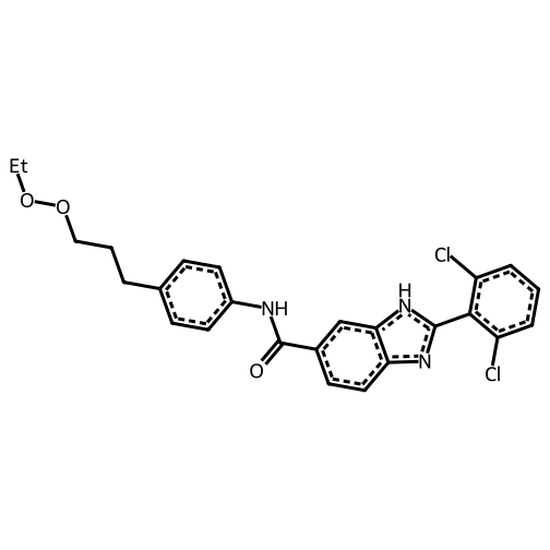 CCOOCCCc1ccc(NC(=O)c2ccc3nc(-c4c(Cl)cccc4Cl)[nH]c3c2)cc1